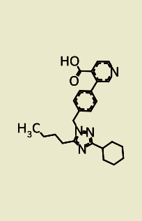 CCCCc1nc(C2CCCCC2)nn1Cc1ccc(-c2cnccc2C(=O)O)cc1